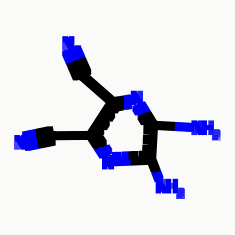 N#Cc1nc(N)c(N)nc1C#N